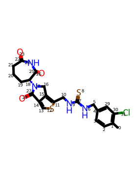 Cc1ccc(CNC(=S)NCc2scc3c2CN([C@H]2CCCC(=O)NC2=O)C3=O)cc1Cl